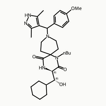 CCCCN1C(=O)[C@@H]([C@H](O)C2CCCCC2)NC(=O)C12CCN(C(c1ccc(OC)cc1)c1c(C)n[nH]c1C)CC2